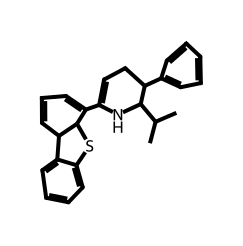 CC(C)C1NC(C2=CC=CC3c4ccccc4SC23)=CCC1c1ccccc1